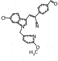 COc1ccc(Cn2cc(/C=C(\C#N)c3ccc(C=O)cc3)c3ccc(Cl)cc32)cn1